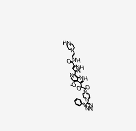 COc1cnc(-c2cc(C(=O)NCCN3CCNCC3)[nH]n2)c2[nH]cc(C(=O)C(=O)N3CCN(c4nnnn4-c4ccccc4)CC3)c12